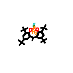 CC1c2cc(C(C)(C)C)cc(C(C)(C)C)c2O[PH2](F)Oc2c1cc(C(C)(C)C)cc2C(C)(C)C